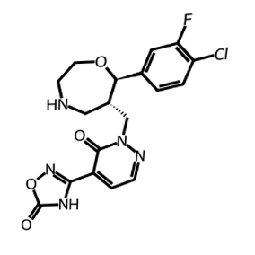 O=c1[nH]c(-c2ccnn(C[C@@H]3CNCCO[C@H]3c3ccc(Cl)c(F)c3)c2=O)no1